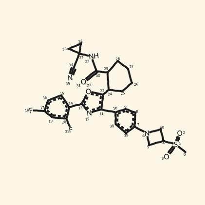 CS(=O)(=O)C1CN(c2ccc(-c3nc(-c4ccc(F)cc4F)oc3C3CCCCC3C(=O)NC3(C#N)CC3)cc2)C1